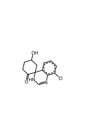 O=C1CCC(O)CC12NC=Nc1c(Cl)cccc12